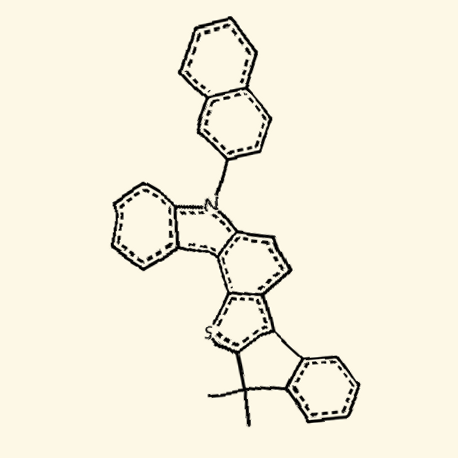 CC1(C)c2ccccc2-c2c1sc1c2ccc2c1c1ccccc1n2-c1ccc2ccccc2c1